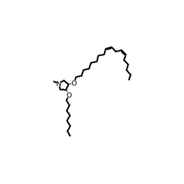 CCCCC/C=C\C/C=C\CCCCCCCCO[C@H]1CN(C)C[C@H]1OCCCCCCCC